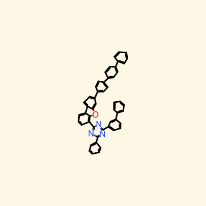 c1ccc(-c2ccc(-c3ccc(-c4ccc5c(c4)oc4c(-c6nc(-c7ccccc7)nc(-c7cccc(-c8ccccc8)c7)n6)cccc45)cc3)cc2)cc1